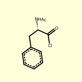 CC(=O)N[C@@H](Cc1ccccc1)C(=O)Cl